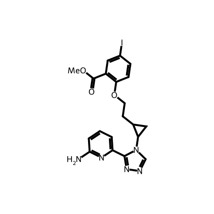 COC(=O)c1cc(I)ccc1OCCC1CC1n1cnnc1-c1cccc(N)n1